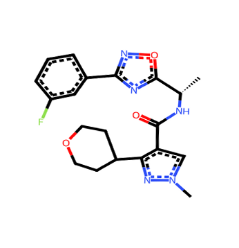 C[C@H](NC(=O)c1cn(C)nc1C1CCOCC1)c1nc(-c2cccc(F)c2)no1